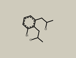 CCc1cccc(CC(C)Cl)c1CC(C)Cl